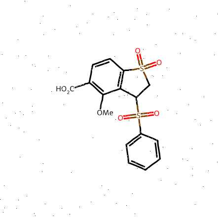 COc1c(C(=O)O)ccc2c1C(S(=O)(=O)c1ccccc1)CS2(=O)=O